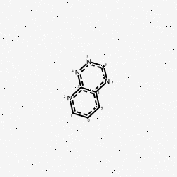 c1cnc2nncnc2c1